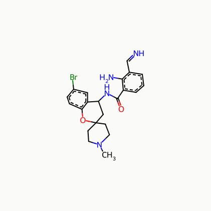 CN1CCC2(CC1)CC(NC(=O)c1cccc(C=N)c1N)c1cc(Br)ccc1O2